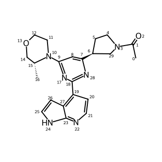 CC(=O)N1CC[C@H](c2cc(N3CCOC[C@H]3C)nc(-c3ccnc4[nH]ccc34)n2)C1